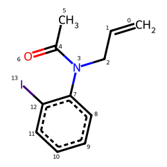 C=CCN(C(C)=O)c1ccccc1I